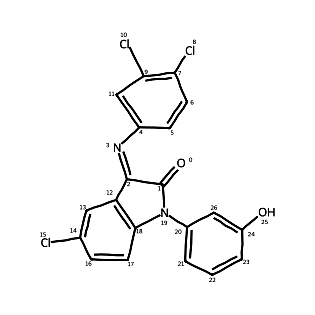 O=C1C(=Nc2ccc(Cl)c(Cl)c2)c2cc(Cl)ccc2N1c1cccc(O)c1